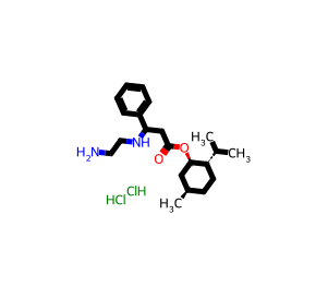 CC(C)[C@@H]1CC[C@@H](C)C[C@H]1OC(=O)CC(NCCN)c1ccccc1.Cl.Cl